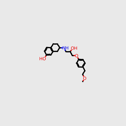 COCCc1ccc(OCC(O)CNC2CCc3ccc(O)cc3C2)cc1